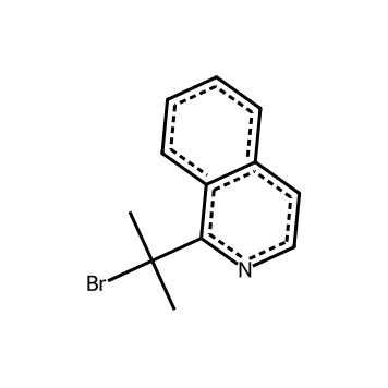 CC(C)(Br)c1nccc2ccccc12